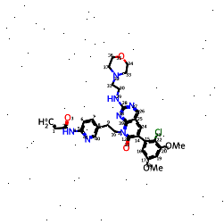 C=CC(=O)Nc1ccc(CCn2c(=O)c(-c3cc(OC)cc(OC)c3Cl)cc3cnc(NCCN4CCOCC4)nc32)cn1